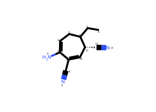 CCC1CC=C(N)C(C#N)=C[C@H]1C#N